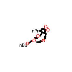 CC#COC#CC.CCCCOCCOCCOCc1cc2c(cc1CCC)OCO2